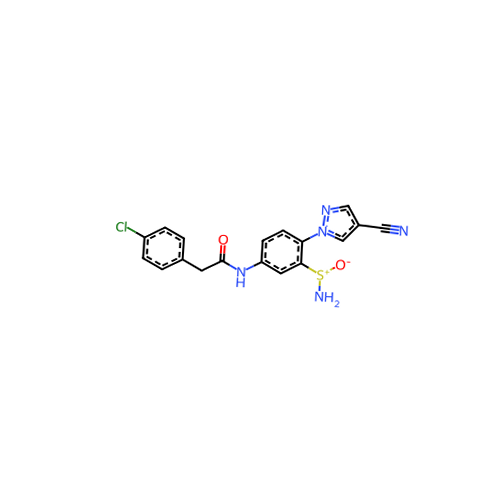 N#Cc1cnn(-c2ccc(NC(=O)Cc3ccc(Cl)cc3)cc2[S+](N)[O-])c1